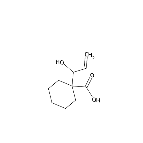 C=CC(O)C1(C(=O)O)CCCCC1